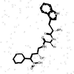 CC(C)[C@H](NC(=O)[C@@H](N)Cc1c[nH]c2ccccc12)C(=O)NC[C@H](O)CC(C1CCCCC1)[PH](=O)O